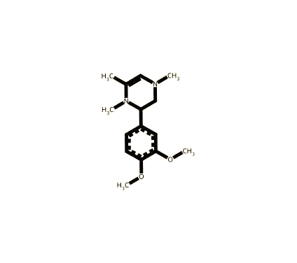 COc1ccc(C2CN(C)C=C(C)N2C)cc1OC